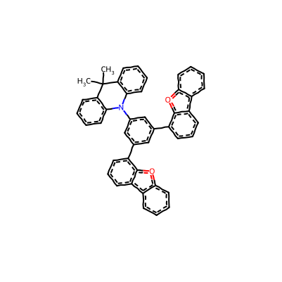 CC1(C)c2ccccc2N(c2cc(-c3cccc4c3oc3ccccc34)cc(-c3cccc4c3oc3ccccc34)c2)c2ccccc21